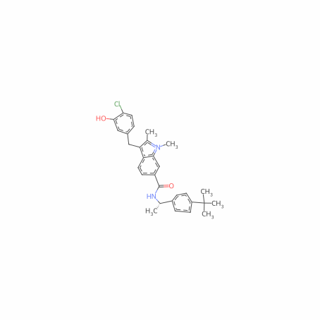 Cc1c(Cc2ccc(Cl)c(O)c2)c2ccc(C(=O)N[C@@H](C)c3ccc(C(C)(C)C)cc3)cc2n1C